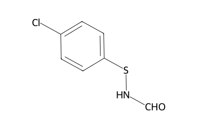 O=CNSc1ccc(Cl)cc1